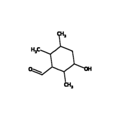 CC1CC(O)C(C)C(C=O)C1C